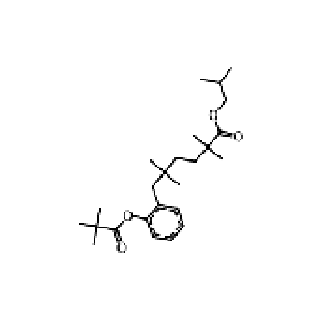 CC(C)COC(=O)C(C)(C)CCC(C)(C)Cc1ccccc1OC(=O)C(C)(C)C